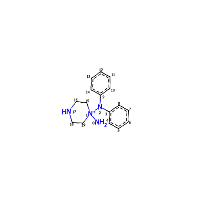 N[N+]1(N(c2ccccc2)c2ccccc2)CCNCC1